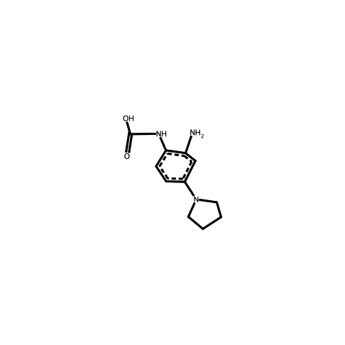 Nc1cc(N2CCCC2)ccc1NC(=O)O